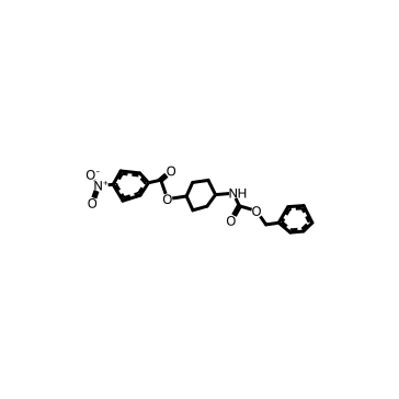 O=C(NC1CCC(OC(=O)c2ccc([N+](=O)[O-])cc2)CC1)OCc1ccccc1